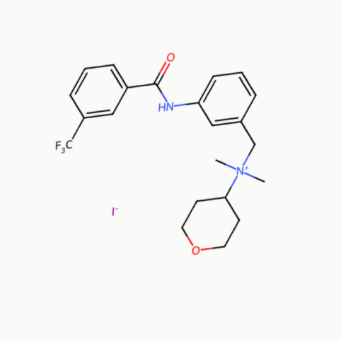 C[N+](C)(Cc1cccc(NC(=O)c2cccc(C(F)(F)F)c2)c1)C1CCOCC1.[I-]